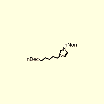 CCCCCCCCCCCCCCCN1C=CN(CCCCCCCCC)C1